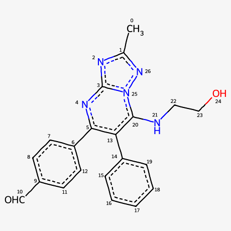 Cc1nc2nc(-c3ccc(C=O)cc3)c(-c3ccccc3)c(NCCO)n2n1